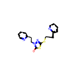 O=c1sc(SCCc2ccccn2)nn1CCc1ccccn1